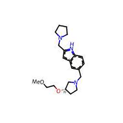 COCCO[C@H]1CCN(Cc2ccc3[nH]c(CN4CCCC4)cc3c2)C1